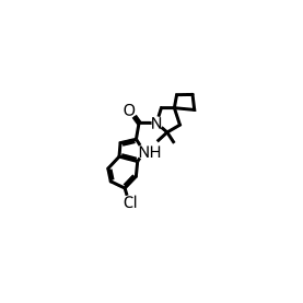 CC1(C)CC2(CCC2)CN1C(=O)c1cc2ccc(Cl)cc2[nH]1